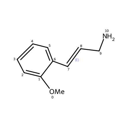 COc1ccccc1/C=C/CN